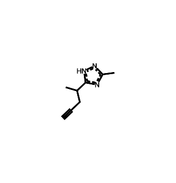 C#CCC(C)c1nc(C)n[nH]1